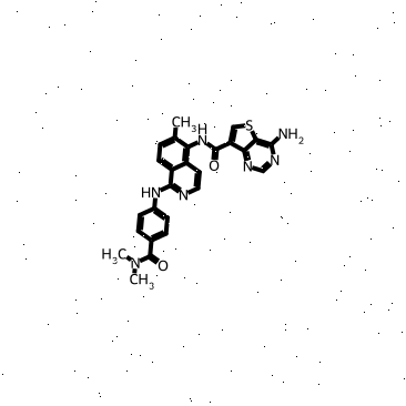 Cc1ccc2c(Nc3ccc(C(=O)N(C)C)cc3)nccc2c1NC(=O)c1csc2c(N)ncnc12